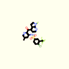 Cc1cnc(C(=O)c2ccnc3c2ccn3F)c(NS(=O)(=O)c2ccc(Cl)c(C(F)(F)F)c2)c1